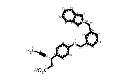 CC#C[C@@H](CC(=O)O)c1ccc(OCc2cccc(Cn3cc4ccccc4c3)c2)cc1